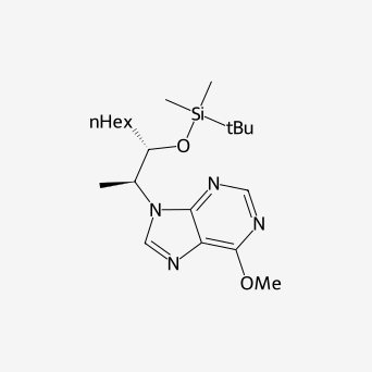 CCCCCC[C@H](O[Si](C)(C)C(C)(C)C)[C@H](C)n1cnc2c(OC)ncnc21